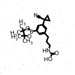 CC1(C)OB(c2cc(CCCNC(=O)O)cc(C3(C#N)CC3)c2)OC1(C)C